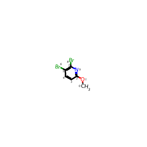 COc1ccc(Br)c(Br)n1